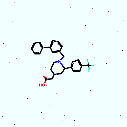 O=C(O)CC1CCN(Cc2cccc(-c3ccccc3)c2)C(c2ccc(C(F)(F)F)cc2)C1